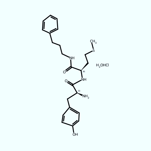 CSCC[C@@H](NC(=O)[C@@H](N)Cc1ccc(O)cc1)C(=O)NCCCc1ccccc1.Cl.O